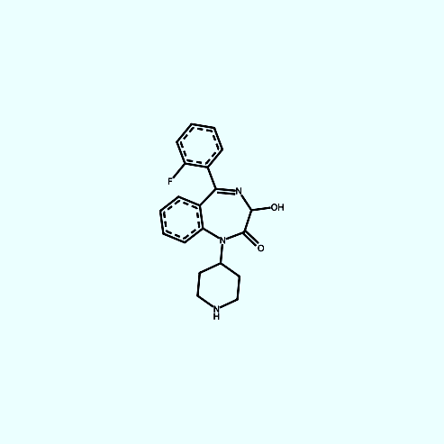 O=C1C(O)N=C(c2ccccc2F)c2ccccc2N1C1CCNCC1